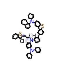 C=c1/c(=C\C=C(/C)N(c2cccc(-c3ccc4sc5ccc(N(c6ccccc6)c6cccc7ccccc67)cc5c4c3)c2)c2cccc(N(c3ccccc3)c3ccccc3)c2)sc2ccccc12